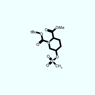 COC(=O)C1CCC(OS(C)(=O)=O)CN1C(=O)OC(C)(C)C